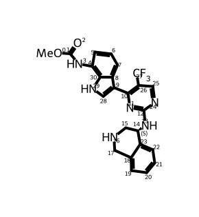 COC(=O)Nc1cccc2c(-c3nc(N[C@@H]4CNCc5ccccc54)ncc3C(F)(F)F)c[nH]c12